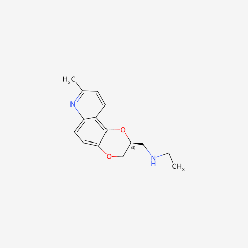 CCNC[C@H]1COc2ccc3nc(C)ccc3c2O1